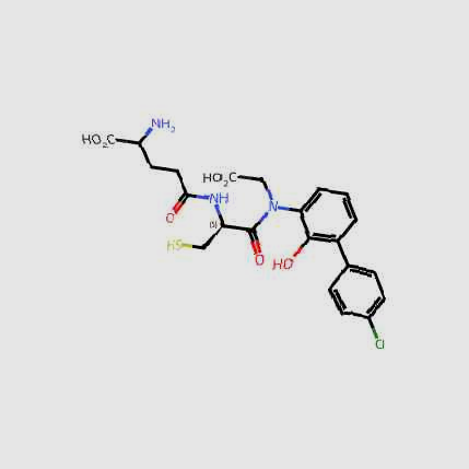 NC(CCC(=O)N[C@H](CS)C(=O)N(CC(=O)O)c1cccc(-c2ccc(Cl)cc2)c1O)C(=O)O